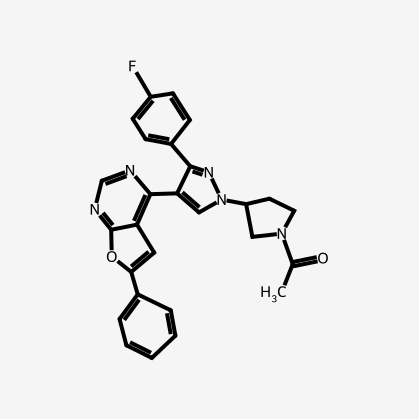 CC(=O)N1CCC(n2cc(-c3ncnc4oc(-c5ccccc5)cc34)c(-c3ccc(F)cc3)n2)C1